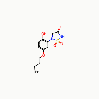 CC(C)CCCOc1ccc(O)c(N2CC(=O)NS2(=O)=O)c1